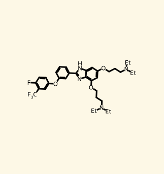 CCN(CC)CCCOc1cc(OCCCN(CC)CC)c2nc(-c3cccc(Oc4ccc(F)c(C(F)(F)F)c4)c3)[nH]c2c1